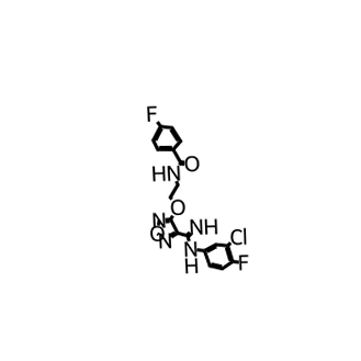 N=C(Nc1ccc(F)c(Cl)c1)c1nonc1OCCNC(=O)c1ccc(F)cc1